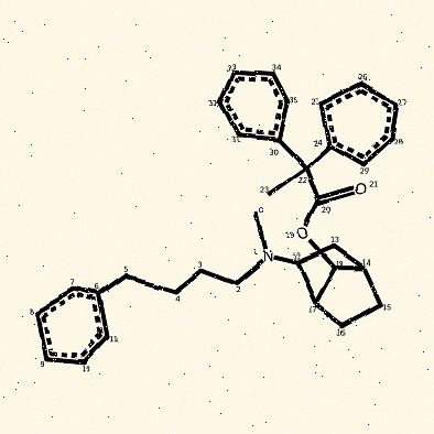 CN(CCCCc1ccccc1)C1CC2CCC1C2OC(=O)C(C)(c1ccccc1)c1ccccc1